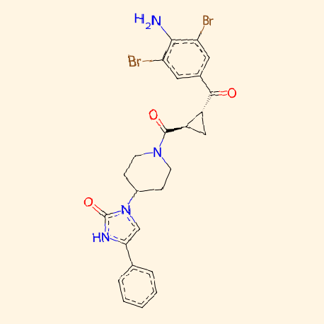 Nc1c(Br)cc(C(=O)[C@@H]2C[C@H]2C(=O)N2CCC(n3cc(-c4ccccc4)[nH]c3=O)CC2)cc1Br